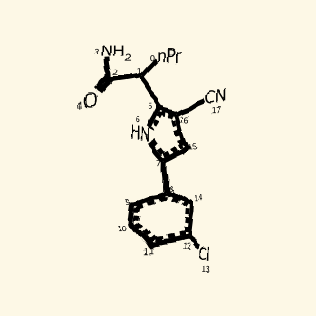 CCCC(C(N)=O)c1[nH]c(-c2cccc(Cl)c2)cc1C#N